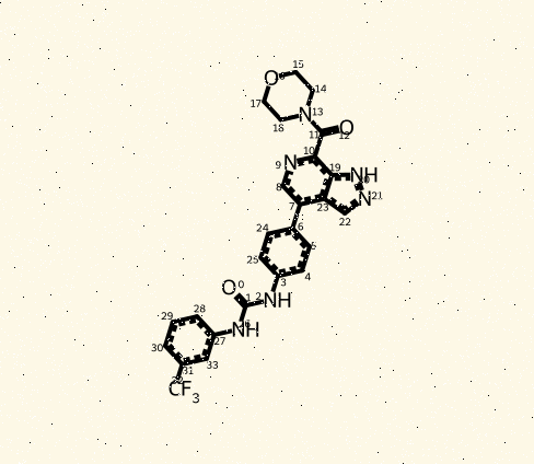 O=C(Nc1ccc(-c2cnc(C(=O)N3CCOCC3)c3[nH]ncc23)cc1)Nc1cccc(C(F)(F)F)c1